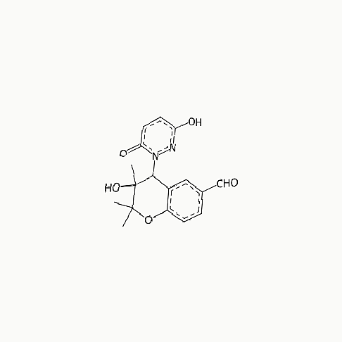 CC1(C)Oc2ccc(C=O)cc2C(n2nc(O)ccc2=O)C1(C)O